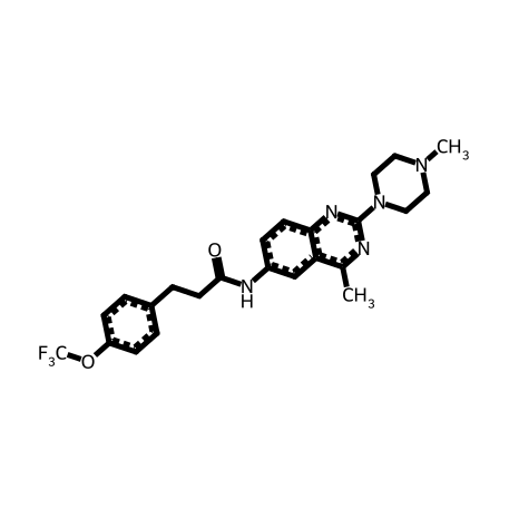 Cc1nc(N2CCN(C)CC2)nc2ccc(NC(=O)CCc3ccc(OC(F)(F)F)cc3)cc12